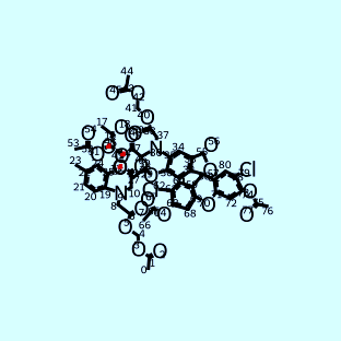 CC(=O)OCOC(=O)CN(CC(=O)OCOC(C)=O)c1ccc(C)cc1OCCOc1cc2c(cc1N(CC(=O)OCOC(C)=O)CC(=O)OCOC(C)=O)C(=O)OC21c2cc(Cl)c(OC(C)=O)cc2Oc2cc(OC(C)=O)c(Cl)cc21